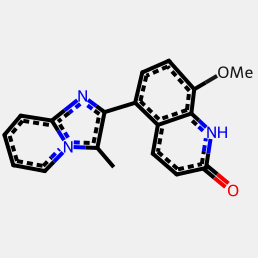 COc1ccc(-c2nc3ccccn3c2C)c2ccc(=O)[nH]c12